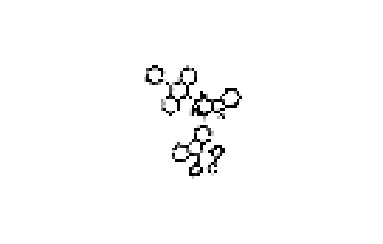 c1ccc(-c2c3ccccc3c(-c3nc(-c4ccc5c(c4)-c4ccccc4C54c5ccccc5Oc5ccccc54)c4sc5ccccc5c4n3)c3ccccc23)cc1